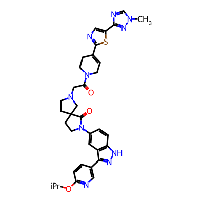 CC(C)Oc1ccc(-c2n[nH]c3ccc(N4CCC5(CCN(CC(=O)N6CC=C(c7ncc(-c8ncn(C)n8)s7)CC6)C5)C4=O)cc23)cn1